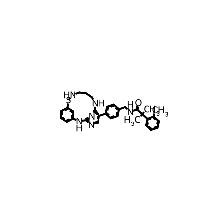 Cc1ccccc1C(C)(C)C(=O)NCc1ccc(-c2cnc3nc2NCCCNSc2cccc(c2)N3)cc1